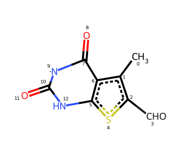 Cc1c(C=O)sc2c1C(=O)[N]C(=O)N2